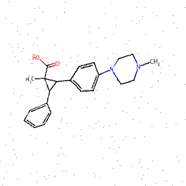 CN1CCN(c2ccc(C3C(c4ccccc4)C3(C)C(=O)O)cc2)CC1